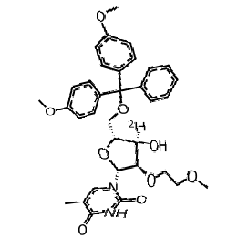 [2H][C@@]1(O)[C@@H](COC(c2ccccc2)(c2ccc(OC)cc2)c2ccc(OC)cc2)O[C@@H](n2cc(C)c(=O)[nH]c2=O)[C@@H]1OCCOC